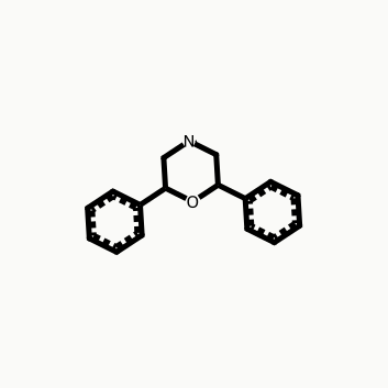 c1ccc(C2C[N]CC(c3ccccc3)O2)cc1